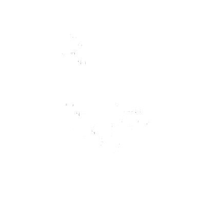 CC(C)(C)OC(=O)NCCCCC(=O)N1CCCN(c2ccccc2/C=C2\SC(=O)NC2=O)CC1